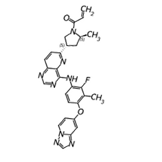 C=CC(=O)N1C[C@@H](c2ccc3ncnc(Nc4ccc(Oc5ccn6ncnc6c5)c(C)c4F)c3n2)C[C@@H]1C